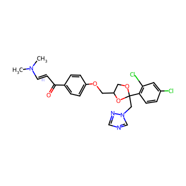 CN(C)/C=C/C(=O)c1ccc(OCC2COC(Cn3cncn3)(c3ccc(Cl)cc3Cl)O2)cc1